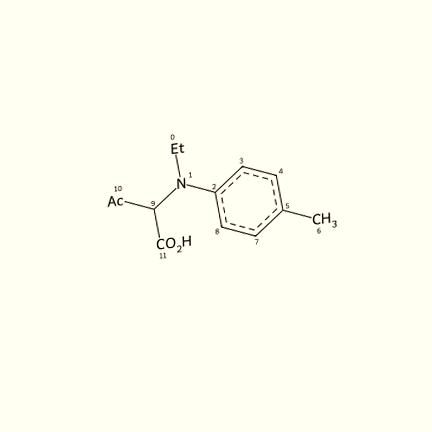 CCN(c1ccc(C)cc1)C(C(C)=O)C(=O)O